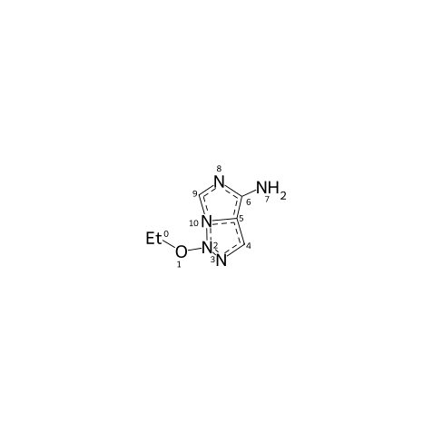 CCOn1ncc2c(N)ncn21